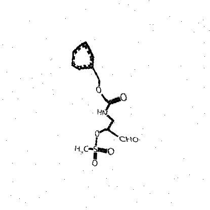 CS(=O)(=O)OC([C]=O)CNC(=O)OCc1ccccc1